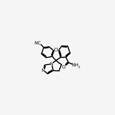 N#Cc1ccc(C2(c3ccccc3C(N)=O)CCc3cncn32)c(Cl)c1